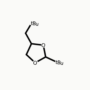 CC(C)(C)CC1COC(C(C)(C)C)O1